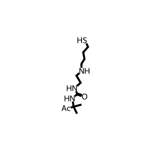 CC(=O)C(C)(C)NC(=O)NCCNCCCCS